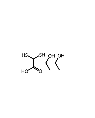 CCO.CCO.O=C(O)C(S)S